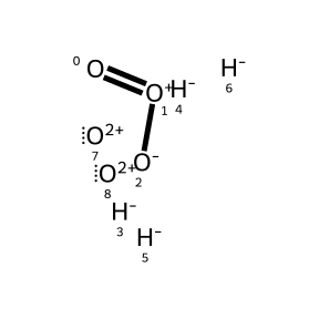 O=[O+][O-].[H-].[H-].[H-].[H-].[O+2].[O+2]